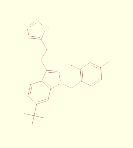 Fc1ccc(Cn2nc(CCc3nnn[nH]3)c3ccc(C(F)(F)F)cc32)c(F)c1